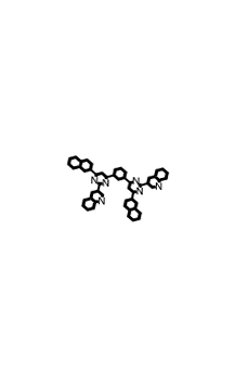 c1cc(-c2cc(-c3ccc4ccccc4c3)nc(-c3cnc4ccccc4c3)n2)cc(-c2cc(-c3ccc4ccccc4c3)nc(-c3cnc4ccccc4c3)n2)c1